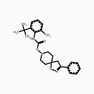 Cc1cccc(C(C)(C)C)c1NC(=O)ON1CCC2(CC1)CC(c1ccccc1)=NO2